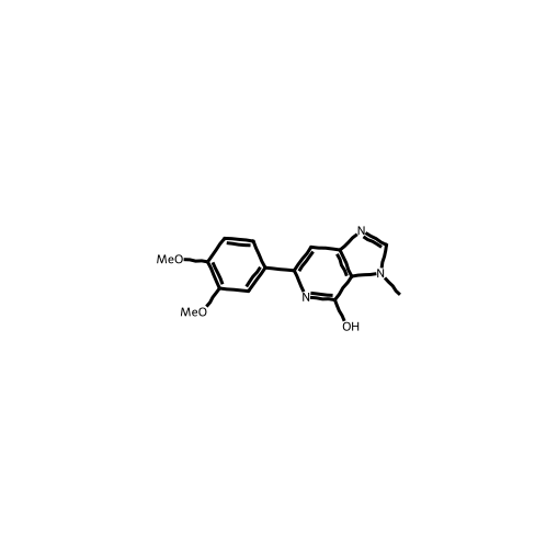 COc1ccc(-c2cc3ncn(C)c3c(O)n2)cc1OC